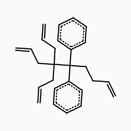 C=CCCC(c1cc[c]cc1)(c1cc[c]cc1)C(CC=C)(CC=C)CC=C